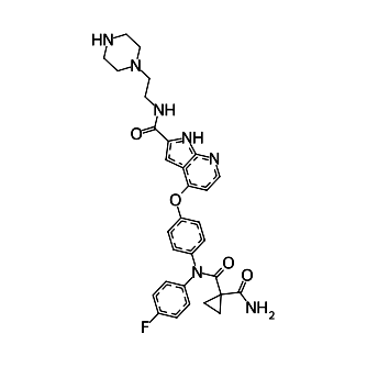 NC(=O)C1(C(=O)N(c2ccc(F)cc2)c2ccc(Oc3ccnc4[nH]c(C(=O)NCCN5CCNCC5)cc34)cc2)CC1